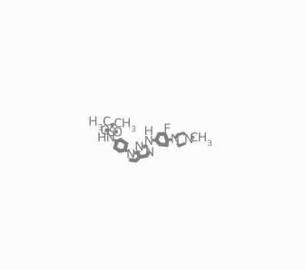 CC(C)S(=O)(=O)Nc1ccc(-n2ccc3cnc(Nc4ccc(N5CCN(C)CC5)c(F)c4)nc32)cc1